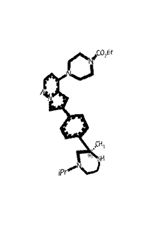 CCOC(=O)N1CCN(c2ccnn3cc(-c4ccc([C@]5(C)CN(C(C)C)CCN5)cc4)cc23)CC1